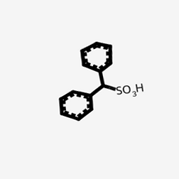 O=S(=O)(O)C(c1ccccc1)c1ccccc1